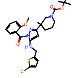 COc1ccccc1C(=O)n1nc(C2(C)CCCN(C(=O)OC(C)(C)C)C2)cc1NCc1ccc(Cl)s1